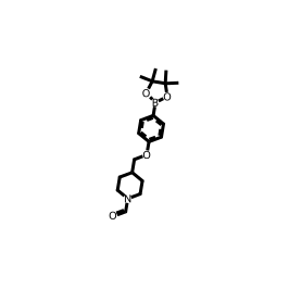 CC1(C)OB(c2ccc(OCC3CCN(C=O)CC3)cc2)OC1(C)C